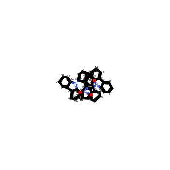 N#Cc1ccc(-n2c3ccccc3c3ccccc32)c(-c2ccccc2-n2c3ccccc3c3cccc(-n4c5ccccc5c5cc(C#N)ccc54)c32)c1